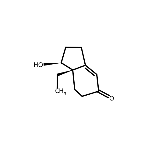 CC[C@]12CCC(=O)C=C1CC[C@@H]2O